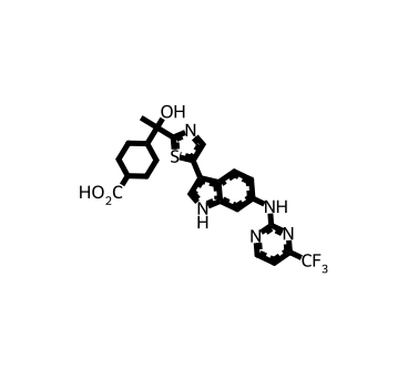 CC(O)(c1ncc(-c2c[nH]c3cc(Nc4nccc(C(F)(F)F)n4)ccc23)s1)C1CCC(C(=O)O)CC1